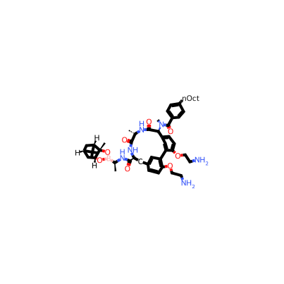 CCCCCCCCc1ccc(C(=O)N(C)[C@@H]2C(=O)N[C@@H](C)C(=O)N[C@H](C(=O)N[C@@H](C)B3O[C@@H]4C[C@@H]5C[C@@H](C5(C)C)[C@]4(C)O3)Cc3ccc(OCCN)c(c3)-c3cc2ccc3OCCN)cc1